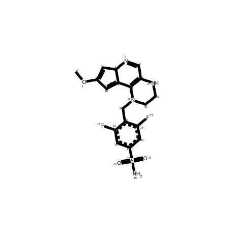 COC1=CC2N=CC3=C(C2=C1)N(Cc1c(F)cc(S(N)(=O)=O)cc1F)CCN3